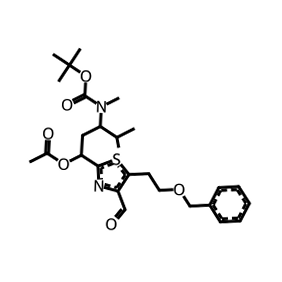 CC(=O)OC(CC(C(C)C)N(C)C(=O)OC(C)(C)C)c1nc(C=O)c(CCOCc2ccccc2)s1